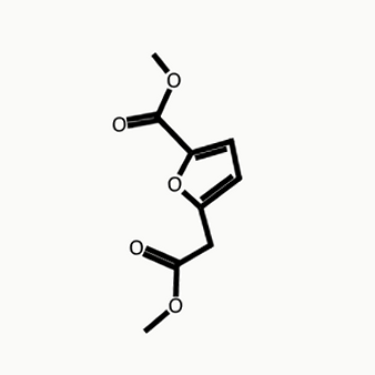 COC(=O)Cc1ccc(C(=O)OC)o1